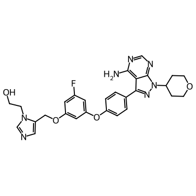 Nc1ncnc2c1c(-c1ccc(Oc3cc(F)cc(OCc4cncn4CCO)c3)cc1)nn2C1CCOCC1